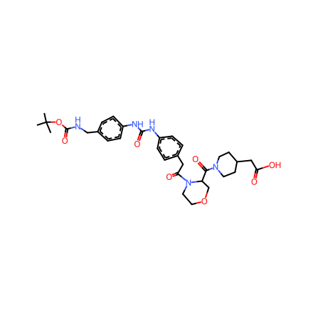 CC(C)(C)OC(=O)NCc1ccc(NC(=O)Nc2ccc(CC(=O)N3CCOCC3C(=O)N3CCC(CC(=O)O)CC3)cc2)cc1